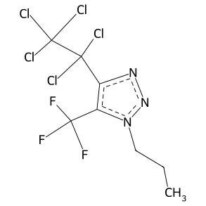 CCCn1nnc(C(Cl)(Cl)C(Cl)(Cl)Cl)c1C(F)(F)F